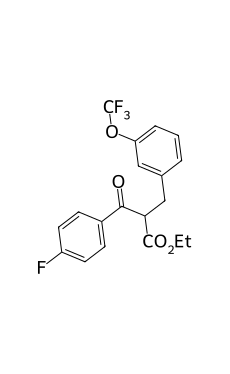 CCOC(=O)C(Cc1cccc(OC(F)(F)F)c1)C(=O)c1ccc(F)cc1